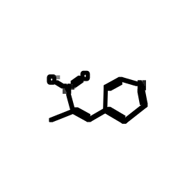 CC(=Cc1ccncc1)[N+](=O)[O-]